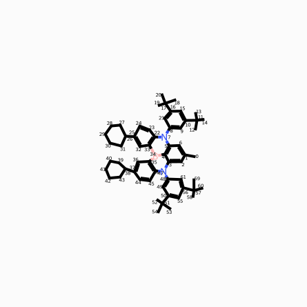 Cc1cc2c3c(c1)N(c1cc(C(C)(C)C)cc(C(C)(C)C)c1)c1ccc(C4CCCCC4)cc1B3c1cc(C3CCCCC3)ccc1N2c1cc(C(C)(C)C)cc(C(C)(C)C)c1